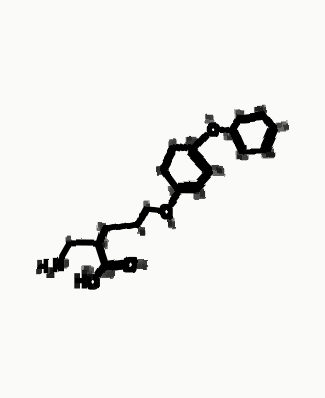 NCC(CCCOc1ccc(Oc2ccccc2)cc1)C(=O)O